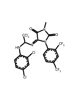 CN1C(=O)C(=NC(Nc2ccc(Cl)cc2Cl)C(Cl)(Cl)Cl)N(c2ccc(C(F)(F)F)cc2C(F)(F)F)C1=O